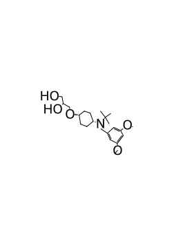 COc1cc(CN([C@H]2CC[C@H](OCC(O)CO)CC2)C(C)(C)C)cc(OC)c1